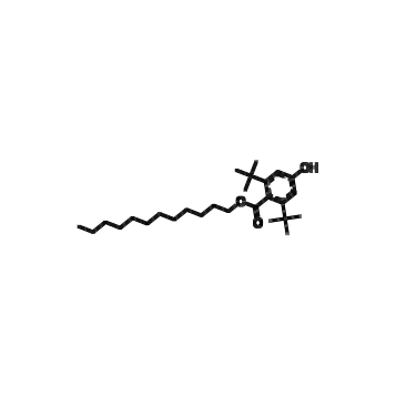 CCCCCCCCCCCCOC(=O)c1c(C(C)(C)C)cc(O)cc1C(C)(C)C